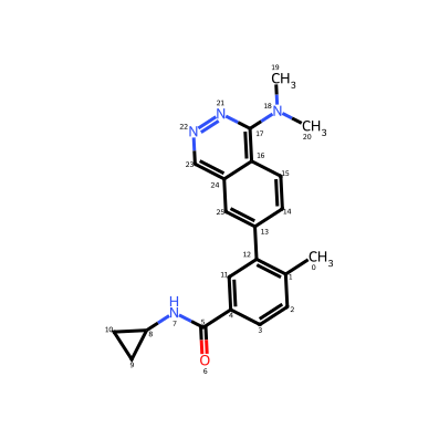 Cc1ccc(C(=O)NC2CC2)cc1-c1ccc2c(N(C)C)nncc2c1